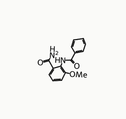 COc1cccc(C(N)=O)c1NC(=O)c1ccccc1